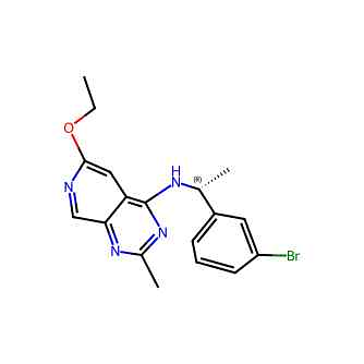 CCOc1cc2c(N[C@H](C)c3cccc(Br)c3)nc(C)nc2cn1